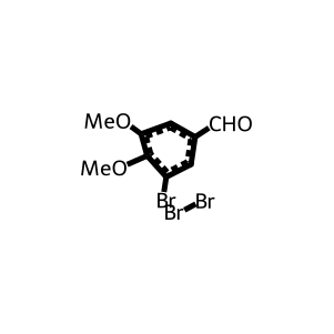 BrBr.COc1cc(C=O)cc(Br)c1OC